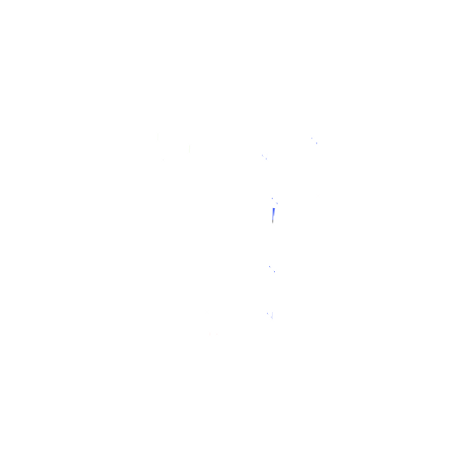 O=C(N[C@H]1CCN(C2=NCCOc3ccc(-c4ccc(C(F)(F)F)cc4)cc32)C1)c1ncccn1